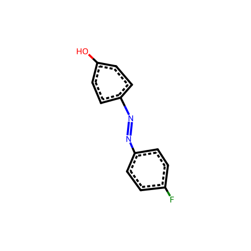 Oc1ccc(/N=N/c2ccc(F)cc2)cc1